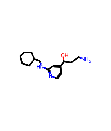 NCCC(O)c1ccnc(NCC2CCCCC2)c1